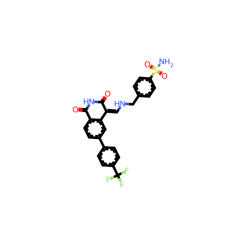 NS(=O)(=O)c1ccc(CNC=C2C(=O)NC(=O)c3ccc(-c4ccc(C(F)(F)F)cc4)cc32)cc1